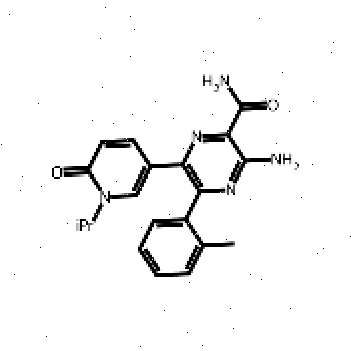 Cc1ccccc1-c1nc(N)c(C(N)=O)nc1-c1ccc(=O)n(C(C)C)c1